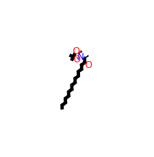 CCCCCCCCCCCCCCC(=O)[C@H](C)N(C=O)OC(C)(C)C